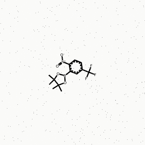 CC1(C)OB(c2cc(C(F)(F)F)ccc2[N+](=O)[O-])OC1(C)C